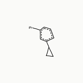 CC(C)c1cccc(C2CC2)c1